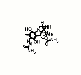 CO[C@@]12[C@H](COC(N)=O)c3c(O)c(N=NC(N)=S)c(C)c(O)c3N1C[C@@H]1N[C@@H]12